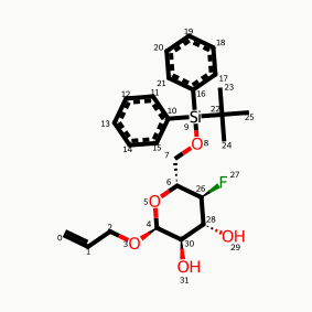 C=CCO[C@H]1O[C@H](CO[Si](c2ccccc2)(c2ccccc2)C(C)(C)C)[C@@H](F)[C@H](O)[C@H]1O